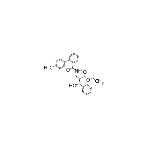 CCOC(=O)[C@H](CNC(=O)c1ccccc1-c1ccc(C)cc1)[C@H](O)c1ccccc1